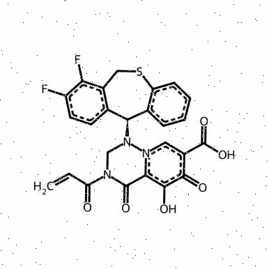 C=CC(=O)N1CN([C@@H]2c3ccccc3SCc3c2ccc(F)c3F)n2cc(C(=O)O)c(=O)c(O)c2C1=O